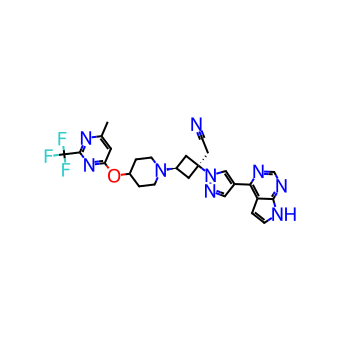 Cc1cc(OC2CCN([C@H]3C[C@@](CC#N)(n4cc(-c5ncnc6[nH]ccc56)cn4)C3)CC2)nc(C(F)(F)F)n1